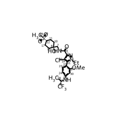 CCn1nc(C(=O)NC[C@]2(O)CC[C@@H](S(C)(=O)=O)CC2)c(Cl)c1-c1ccc(N[C@H](C)C(F)(F)F)cc1OC